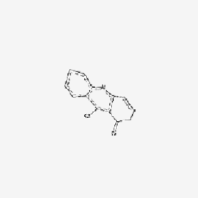 O=C1CC=Cc2nc3ccccc3c(Cl)c21